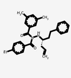 C=CC[C@@H](CCc1ccccc1)NN(C(=O)c1ccc(CC)cc1)C(=O)c1cc(C)cc(C)c1